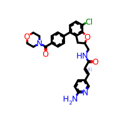 Nc1ccc(/C=C/C(=O)NCC2Cc3c(-c4ccc(C(=O)N5CCOCC5)cc4)ccc(Cl)c3O2)cn1